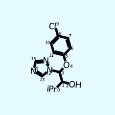 CC(C)C(O)C(Oc1ccc(Cl)cc1)n1cncn1